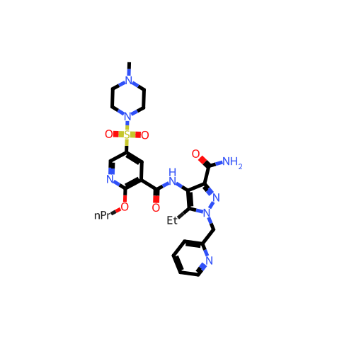 CCCOc1ncc(S(=O)(=O)N2CCN(C)CC2)cc1C(=O)Nc1c(C(N)=O)nn(Cc2ccccn2)c1CC